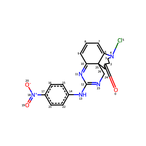 O=C1CCN(Cl)C2=CC=CC3=NC(Nc4ccc([N+](=O)[O-])cc4)=NCC23C1